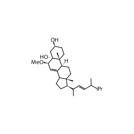 CO[C@@H]1C=C2C3CC[C@H](C(C)/C=C/C(C)C(C)C)[C@@]3(C)CC[C@@H]2[C@@]2(C)CC[C@H](O)C[C@]12O